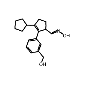 OCc1cccc(C2=C(C3CCCC3)CCC2C=NO)c1